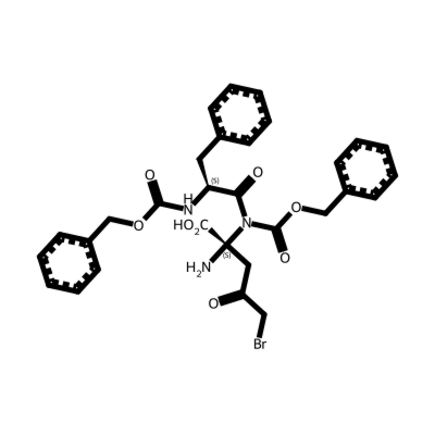 N[C@](CC(=O)CBr)(C(=O)O)N(C(=O)OCc1ccccc1)C(=O)[C@H](Cc1ccccc1)NC(=O)OCc1ccccc1